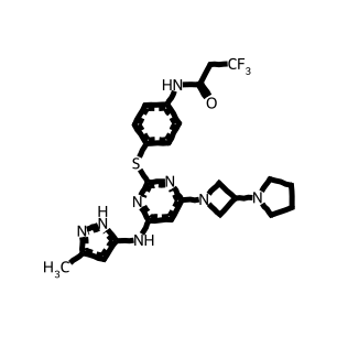 Cc1cc(Nc2cc(N3CC(N4CCCC4)C3)nc(Sc3ccc(NC(=O)CC(F)(F)F)cc3)n2)[nH]n1